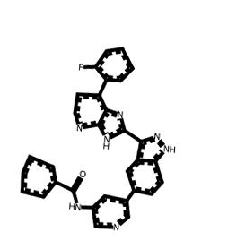 O=C(Nc1cncc(-c2ccc3[nH]nc(-c4nc5c(-c6ccccc6F)ccnc5[nH]4)c3c2)c1)c1ccccc1